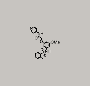 COc1cc(NS(=O)(=O)c2ccccc2C)cc(OCC(=O)Nc2ccncc2)c1